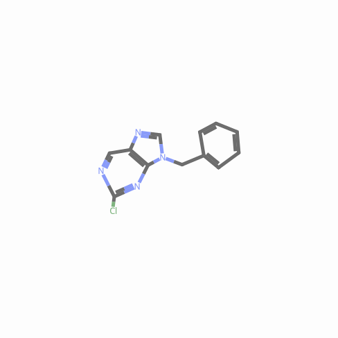 Clc1ncc2ncn(Cc3ccccc3)c2n1